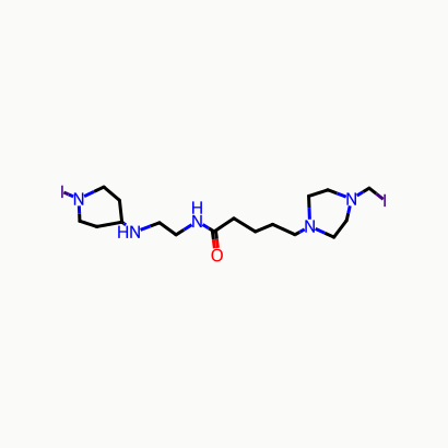 O=C(CCCCN1CCN(CI)CC1)NCCNC1CCN(I)CC1